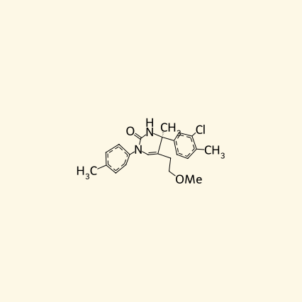 COCCC1=CN(c2ccc(C)cc2)C(=O)N[C@@]1(C)c1ccc(C)c(Cl)c1